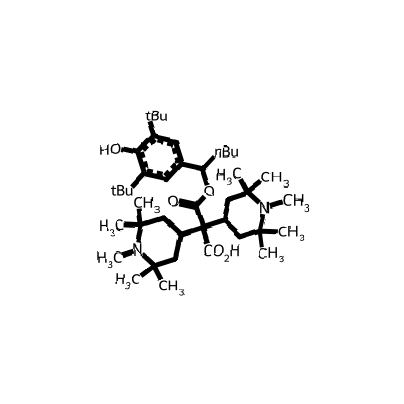 CCCCC(OC(=O)C(C(=O)O)(C1CC(C)(C)N(C)C(C)(C)C1)C1CC(C)(C)N(C)C(C)(C)C1)c1cc(C(C)(C)C)c(O)c(C(C)(C)C)c1